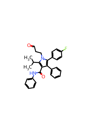 CC(C)c1c(C(=O)Nc2ccccc2)c(-c2ccccc2)c(-c2ccc(F)cc2)n1CCC=O